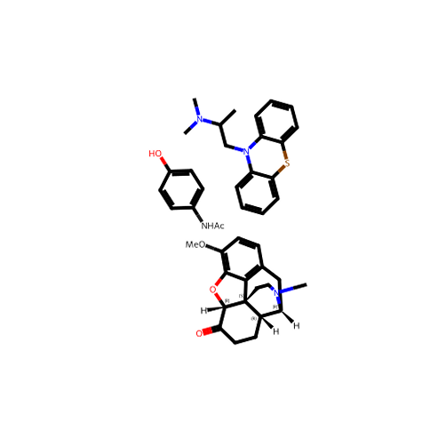 CC(=O)Nc1ccc(O)cc1.CC(CN1c2ccccc2Sc2ccccc21)N(C)C.COc1ccc2c3c1O[C@H]1C(=O)CC[C@H]4[C@@H](C2)N(C)CC[C@]314